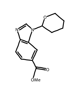 COC(=O)c1ccc2ncn(C3CCCCO3)c2c1